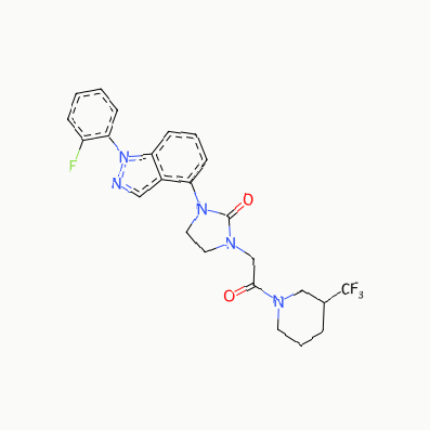 O=C(CN1CCN(c2cccc3c2cnn3-c2ccccc2F)C1=O)N1CCCC(C(F)(F)F)C1